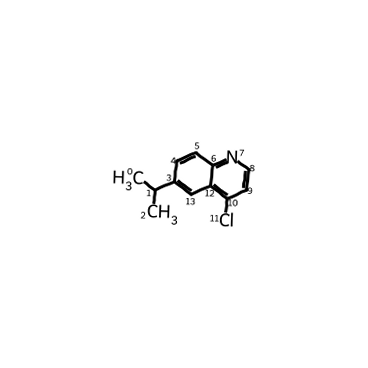 CC(C)c1ccc2nccc(Cl)c2c1